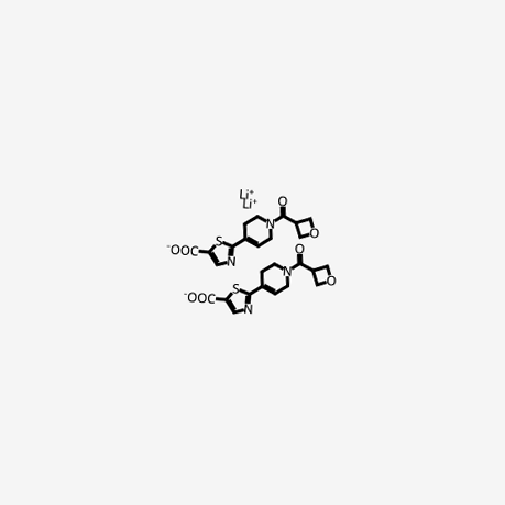 O=C([O-])c1cnc(C2=CCN(C(=O)C3COC3)CC2)s1.O=C([O-])c1cnc(C2=CCN(C(=O)C3COC3)CC2)s1.[Li+].[Li+]